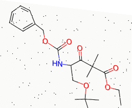 CCOC(=O)C(C)(C)C(=O)C(COC(C)(C)C)NC(=O)OCc1ccccc1